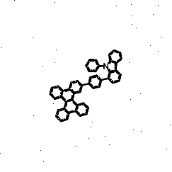 c1ccc(-n2c3ccccc3c3cccc(-c4ccc(-c5ccc6c7ccccc7c7c8ccccc8c8ccccc8c7c6c5)cc4)c32)cc1